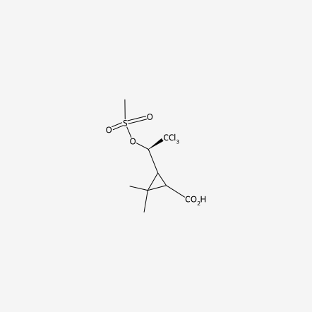 CC1(C)C(C(=O)O)C1[C@@H](OS(C)(=O)=O)C(Cl)(Cl)Cl